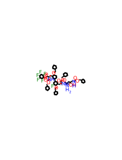 N[C@@H](C[C@@H](O)CNC(=O)OCc1ccccc1)C(=O)N[C@@H](Cc1cc(-c2ccc(OCc3ccccc3)c(C[C@H](NC(=O)OCc3ccccc3)C(=O)Oc3c(F)c(F)c(F)c(F)c3F)c2)cc(F)c1OCc1ccccc1)C(=O)OCc1ccccc1